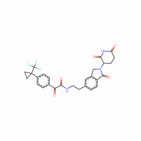 O=C1CCC(N2Cc3cc(CCNC(=O)C(=O)c4ccc(C5(C(F)(F)F)CC5)cc4)ccc3C2=O)C(=O)N1